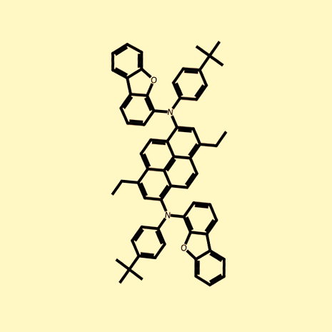 CCc1cc(N(c2ccc(C(C)(C)C)cc2)c2cccc3c2oc2ccccc23)c2ccc3c(CC)cc(N(c4ccc(C(C)(C)C)cc4)c4cccc5c4oc4ccccc45)c4ccc1c2c34